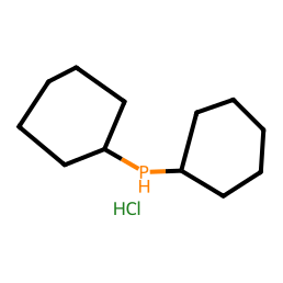 C1CCC(PC2CCCCC2)CC1.Cl